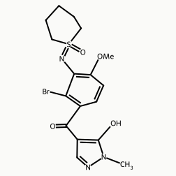 COc1ccc(C(=O)c2cnn(C)c2O)c(Br)c1N=S1(=O)CCCCC1